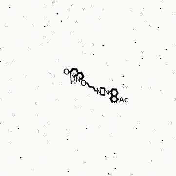 CC(=O)c1cccc2c(N3CCN(CCCCOc4ccc5ccc(=O)[nH]c5n4)CC3)cccc12